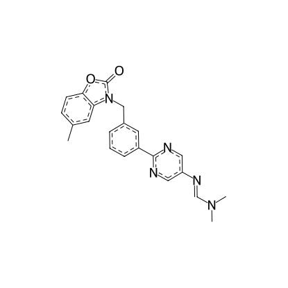 Cc1ccc2oc(=O)n(Cc3cccc(-c4ncc(N=CN(C)C)cn4)c3)c2c1